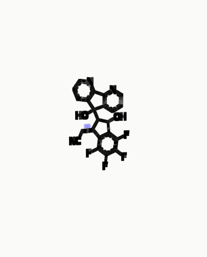 N#C/C=C1\c2c(F)c(F)c(F)c(F)c2C(O)C1C1(O)c2cccnc2-c2ncccc21